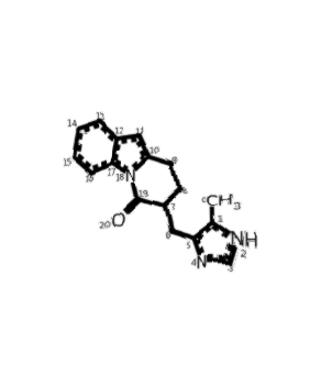 Cc1[nH]cnc1CC1CCc2cc3ccccc3n2C1=O